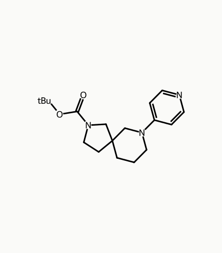 CC(C)(C)OC(=O)N1CCC2(CCCN(c3ccncc3)C2)C1